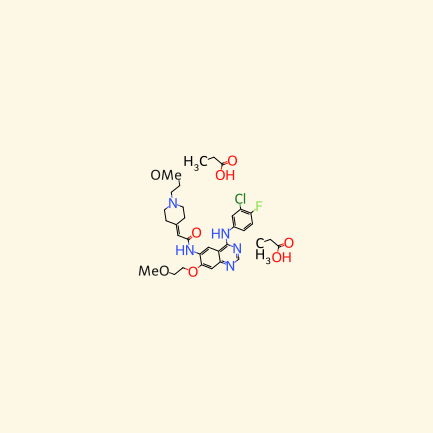 CCC(=O)O.CCC(=O)O.COCCOc1cc2ncnc(Nc3ccc(F)c(Cl)c3)c2cc1NC(=O)C=C1CCN(CCOC)CC1